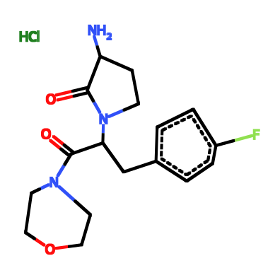 Cl.NC1CCN(C(Cc2ccc(F)cc2)C(=O)N2CCOCC2)C1=O